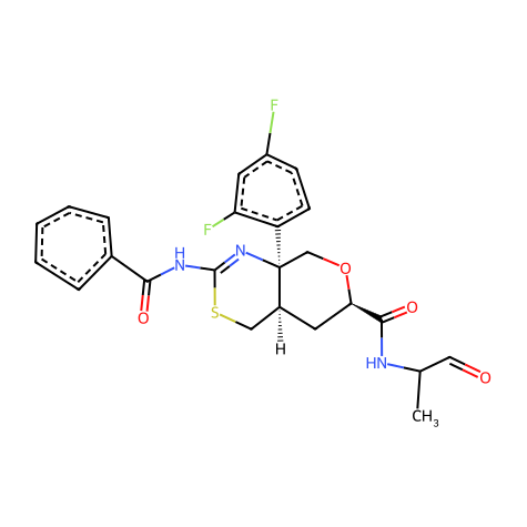 CC(C=O)NC(=O)[C@H]1C[C@H]2CSC(NC(=O)c3ccccc3)=N[C@@]2(c2ccc(F)cc2F)CO1